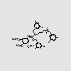 COc1cc(/N=C(\SCc2cc(C)cc(C)c2)N(CCCC[N+](C)(C)Cc2cc(C)cc(C)c2)Cc2cc(C)cc(C)c2)cc(OC)c1OC